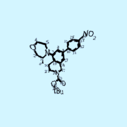 C[C@H]1COCCN1c1cc(-c2ccc([N+](=O)[O-])cc2)cc2c1CCN(C(=O)OC(C)(C)C)C2